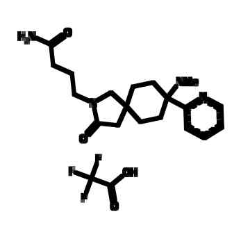 CNC1(c2ccccn2)CCC2(CC1)CC(=O)N(CCCC(N)=O)C2.O=C(O)C(F)(F)F